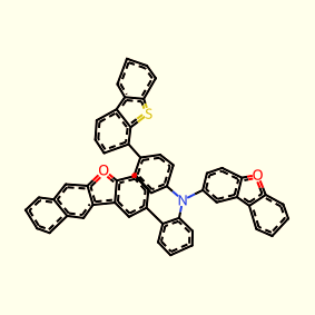 c1ccc(N(c2ccc(-c3cccc4c3sc3ccccc34)cc2)c2ccc3oc4ccccc4c3c2)c(-c2ccc3oc4cc5ccccc5cc4c3c2)c1